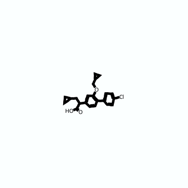 O=C(O)C(CC1CC1)c1ccc(-c2ccc(Cl)cc2)c(OCC2CC2)c1